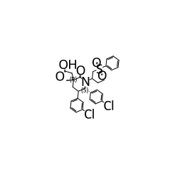 CCC(CS(=O)(=O)c1ccccc1)N1C(=O)[C@@](C)(CC(=O)O)CC(c2cccc(Cl)c2)[C@H]1c1ccc(Cl)cc1